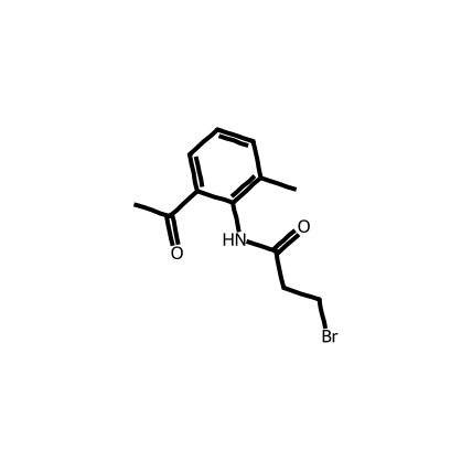 CC(=O)c1cccc(C)c1NC(=O)CCBr